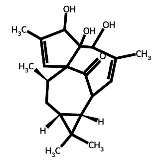 CC1=CC2C(=O)C3(C=C(C)C(O)C3(O)C1O)[C@H](C)C[C@@H]1[C@H]2C1(C)C